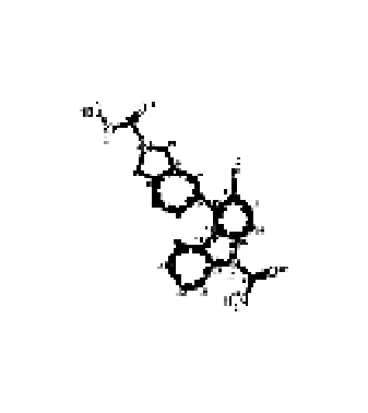 CC(C)(C)OC(=O)N1Cc2ccc(-c3c(F)ccc4c3c3ccccc3n4C(N)=O)cc2C1